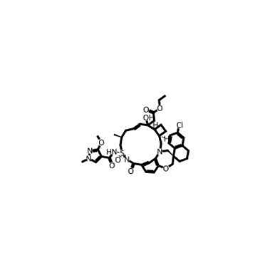 CCOC(=O)CC1(O)/C=C/C[C@H](C)C[S@@](=O)(NC(=O)c2cn(C)nc2OC)=NC(=O)c2ccc3c(c2)N(C[C@@H]2CC[C@H]21)C[C@@]1(CCCc2cc(Cl)ccc21)CO3